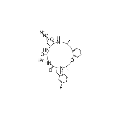 CC(C)[C@H]1NC(=O)[C@@H](Cc2cccc(F)c2)N[C@@H](C)COc2ccccc2C[C@H](C)CNC(=O)[C@H](CN=[N+]=[N-])NC1=O